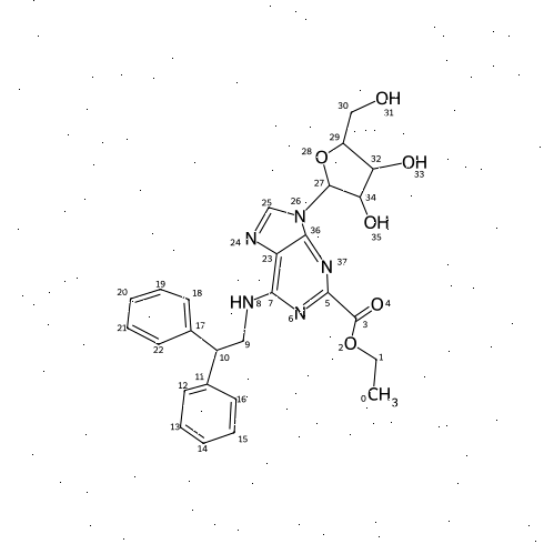 CCOC(=O)c1nc(NCC(c2ccccc2)c2ccccc2)c2ncn(C3OC(CO)C(O)C3O)c2n1